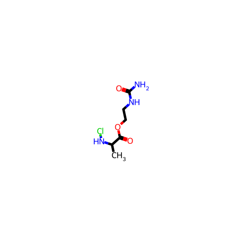 CC(NCl)C(=O)OCCNC(N)=O